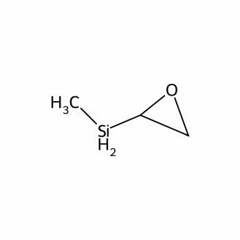 C[SiH2]C1CO1